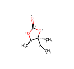 CC[C@]1(C)OC(=O)O[C@@H]1C